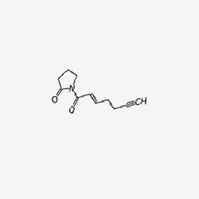 C#CCC/C=C/C(=O)N1CCCC1=O